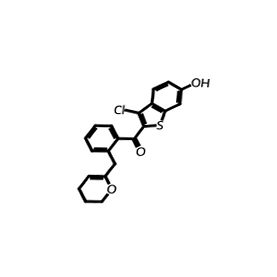 O=C(c1ccccc1CC1=CCCCO1)c1sc2cc(O)ccc2c1Cl